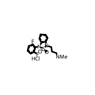 CNCCCN1c2ccccc2N(c2c(F)cccc2F)S1(=O)=O.Cl